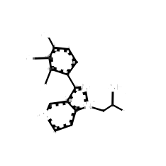 CC(N)Cn1nc(-c2ccc(Cl)c(Cl)c2Cl)c2cnccc21